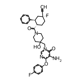 C#C[C@@]1(F)CC[C@H](C(=O)N2CCC(O)(Cn3cnc(Oc4ccc(F)cc4)c(N)c3=O)CC2)[C@@H](c2ccccc2)C1